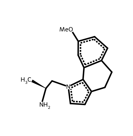 COc1ccc2c(c1)-c1c(ccn1C[C@H](C)N)CC2